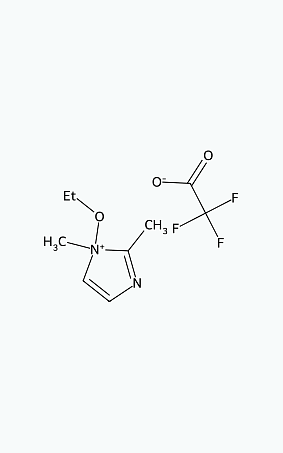 CCO[N+]1(C)C=CN=C1C.O=C([O-])C(F)(F)F